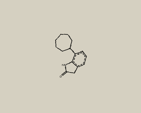 O=C1Cc2cccc(C3CCCCCC3)c2N1